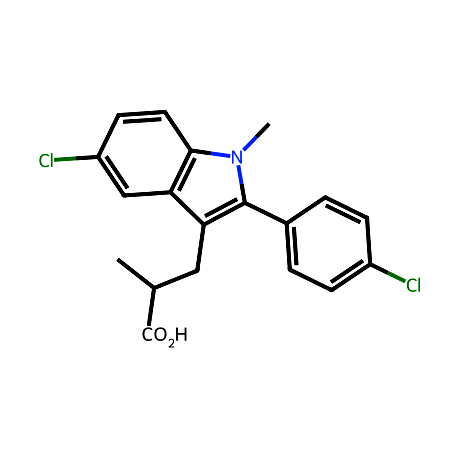 CC(Cc1c(-c2ccc(Cl)cc2)n(C)c2ccc(Cl)cc12)C(=O)O